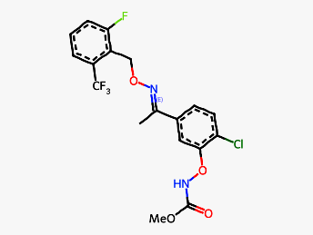 COC(=O)NOc1cc(/C(C)=N/OCc2c(F)cccc2C(F)(F)F)ccc1Cl